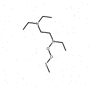 CCN(CC)CCN(CC)OOSC